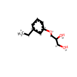 CCc1cccc(OCC(O)CO)c1